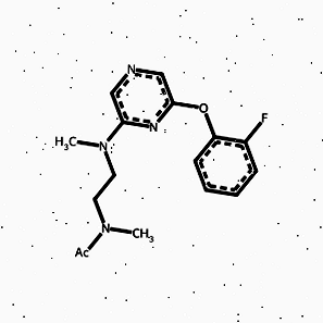 CC(=O)N(C)CCN(C)c1cncc(Oc2ccccc2F)n1